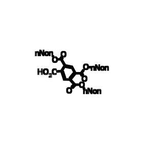 CCCCCCCCCOC(=O)c1cc(C(=O)OCCCCCCCCC)c(C(=O)OCCCCCCCCC)cc1C(=O)O